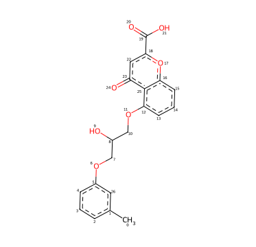 Cc1cccc(OCC(O)COc2cccc3oc(C(=O)O)cc(=O)c23)c1